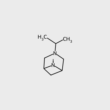 CC(C)N1CC2CC(C1)N2I